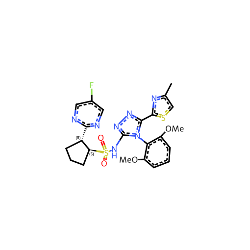 COc1cccc(OC)c1-n1c(NS(=O)(=O)[C@H]2CCC[C@@H]2c2ncc(F)cn2)nnc1-c1nc(C)cs1